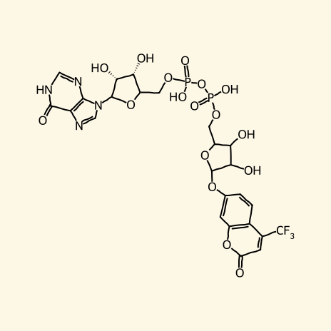 O=c1cc(C(F)(F)F)c2ccc(OC3OC(COP(=O)(O)OP(=O)(O)OCC4OC(n5cnc6c(=O)[nH]cnc65)[C@H](O)[C@@H]4O)C(O)C3O)cc2o1